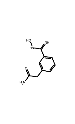 N=C(NO)c1cccc([CH]C(N)=O)c1